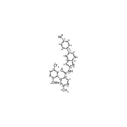 COc1ccc(C(F)(F)F)cc1-c1cc(C)ncc1C(=O)Nc1nc2ncc(-c3ccc(C#N)cc3)nc2s1